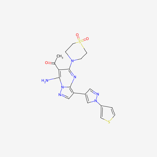 CC(=O)c1c(N2CCS(=O)(=O)CC2)nc2c(-c3cnn(-c4ccsc4)c3)cnn2c1N